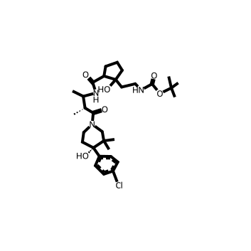 CC(NC(=O)C1CCCC1(O)CCNC(=O)OC(C)(C)C)[C@@H](C)C(=O)N1CC[C@](O)(c2ccc(Cl)cc2)C(C)(C)C1